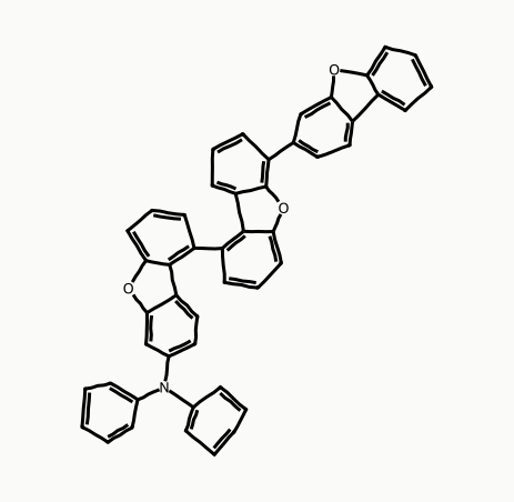 c1ccc(N(c2ccccc2)c2ccc3c(c2)oc2cccc(-c4cccc5oc6c(-c7ccc8c(c7)oc7ccccc78)cccc6c45)c23)cc1